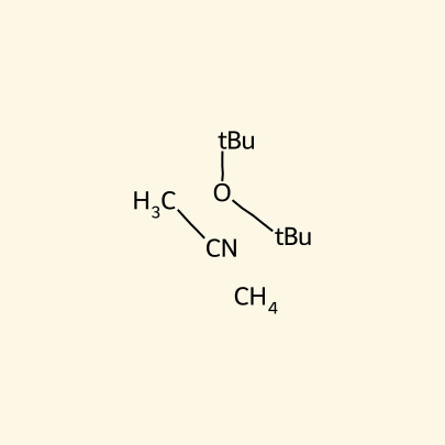 C.CC#N.CC(C)(C)OC(C)(C)C